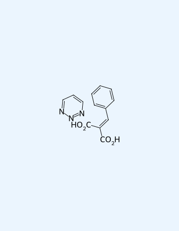 O=C(O)C(=Cc1ccccc1)C(=O)O.c1cnnnc1